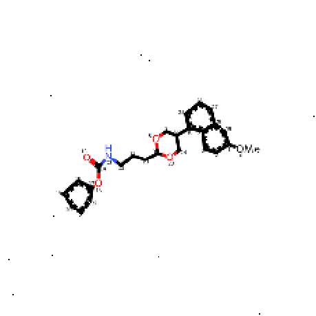 COc1ccc2c(C3COC(CCCNC(=O)Oc4ccccc4)OC3)cccc2c1